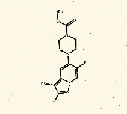 CCc1nn2cc(F)c(N3CCN(C(=O)OC(C)(C)C)CC3)cc2c1N=O